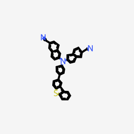 N#Cc1ccc2cc(N(c3ccc(-c4ccc5sc6ccccc6c5c4)cc3)c3ccc4cc(C#N)ccc4c3)ccc2c1